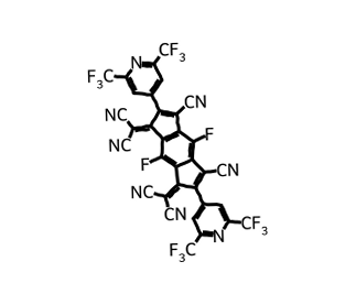 N#CC(C#N)=C1C(c2cc(C(F)(F)F)nc(C(F)(F)F)c2)=C(C#N)c2c(F)c3c(c(F)c21)C(=C(C#N)C#N)C(c1cc(C(F)(F)F)nc(C(F)(F)F)c1)=C3C#N